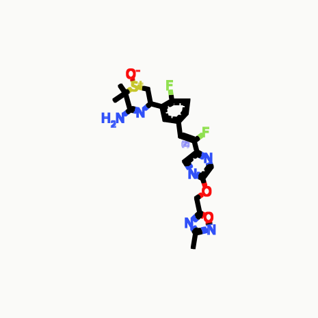 Cc1noc(COc2cnc(/C(F)=C/c3ccc(F)c(C4C[S+]([O-])C(C)(C)C(N)=N4)c3)cn2)n1